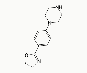 c1cc(N2CCNCC2)ccc1C1=NCCO1